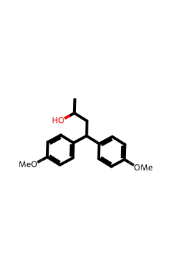 COc1ccc(C(CC(C)O)c2ccc(OC)cc2)cc1